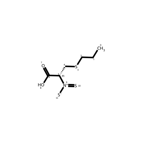 CCCSC[C@@H](C(=O)O)[N+](=S)[S-]